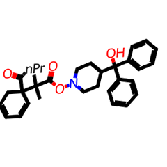 CCCC(=O)C1(C(C)(C)C(=O)ON2CCC(C(O)(c3ccccc3)c3ccccc3)CC2)C=CC=CC1